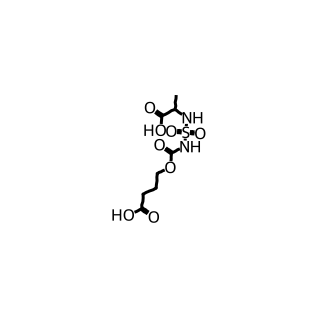 CC(NS(=O)(=O)NC(=O)OCCCC(=O)O)C(=O)O